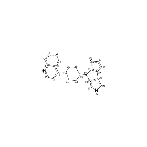 c1ccc2c(c1)nccc2[C@H]1CC[C@H](C2c3sccc3-c3cncn32)CC1